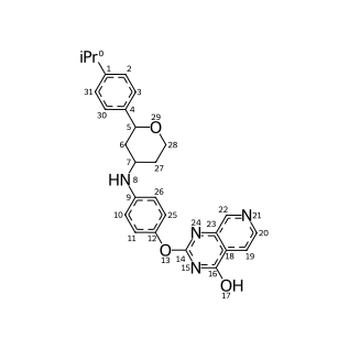 CC(C)c1ccc(C2CC(Nc3ccc(Oc4nc(O)c5ccncc5n4)cc3)CCO2)cc1